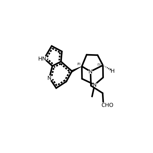 CN1C[C@@H]2CC[C@@](c3ccnc4[nH]ccc34)(C1)N2CCC=O